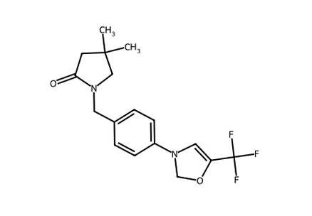 CC1(C)CC(=O)N(Cc2ccc(N3C=C(C(F)(F)F)OC3)cc2)C1